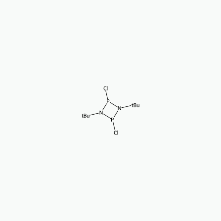 CC(C)(C)N1P(Cl)N(C(C)(C)C)P1Cl